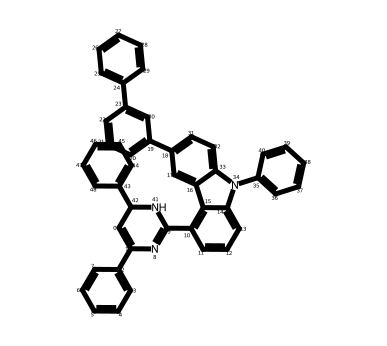 C1=C(c2ccccc2)N=C(c2cccc3c2c2cc(-c4cccc(-c5ccccc5)c4)ccc2n3-c2ccccc2)NC1c1ccccc1